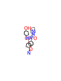 COc1ccc(NC(=O)N2CC3CCC(C2)N3CCCC(Oc2ccc(O)cc2)c2ccc(C#N)cc2)cc1